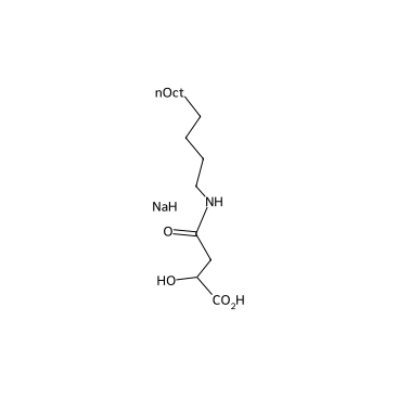 CCCCCCCCCCCCNC(=O)CC(O)C(=O)O.[NaH]